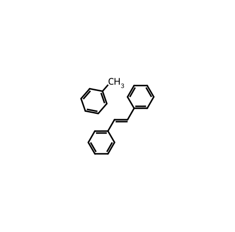 C(=C\c1ccccc1)/c1ccccc1.Cc1ccccc1